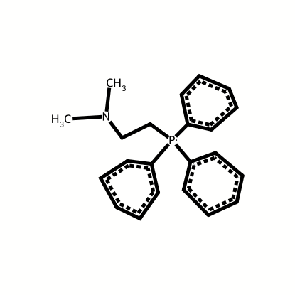 CN(C)CC[P](c1ccccc1)(c1ccccc1)c1ccccc1